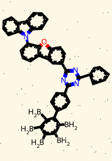 Bc1c(B)c(B)c(-c2ccc(-c3nc(-c4ccccc4)nc(-c4ccc5oc6c(-n7c8ccccc8c8ccccc87)cccc6c5c4)n3)cc2)c(B)c1B